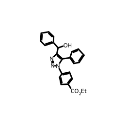 CCOC(=O)c1ccc(-n2nnc(C(O)c3ccccc3)c2-c2ccccc2)cc1